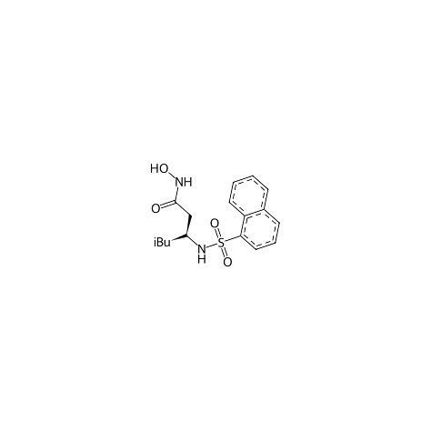 CC[C@H](C)[C@@H](CC(=O)NO)NS(=O)(=O)c1cccc2ccccc12